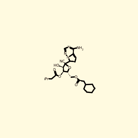 CC(C)CC(=O)O[C@H]1[C@@H](O)[C@](C#N)(C2CC=C3C(N)=NC=NN32)O[C@@H]1COC(=O)CC1CCCCC1